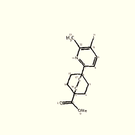 COC(=O)C12CCC(c3ccc(I)c(C)n3)(CC1)CC2